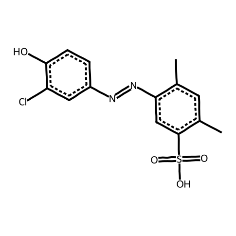 Cc1cc(C)c(S(=O)(=O)O)cc1N=Nc1ccc(O)c(Cl)c1